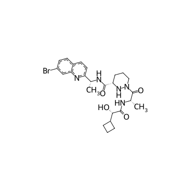 C[C@H](NC(=O)[C@@H](O)C1CCC1)C(=O)N1CCC[C@@H](C(=O)N[C@H](C)c2ccc3ccc(Br)cc3n2)N1